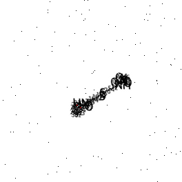 O=C(CCCCCCCSSCCCCCCCC(=O)NCc1ccc2ccc3cccc4ccc1c2c34)NCCN1C(=O)C=CC1=O